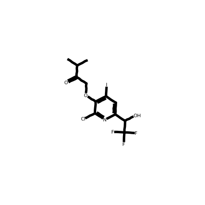 CC(C)C(=O)COc1c(I)cc(C(O)C(F)(F)F)nc1Cl